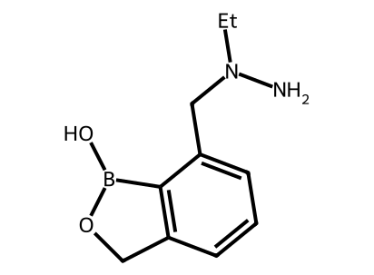 CCN(N)Cc1cccc2c1B(O)OC2